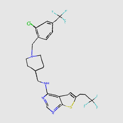 FC(F)(F)Cc1cc2c(NCC3CCN(Cc4ccc(C(F)(F)F)cc4Cl)CC3)ncnc2s1